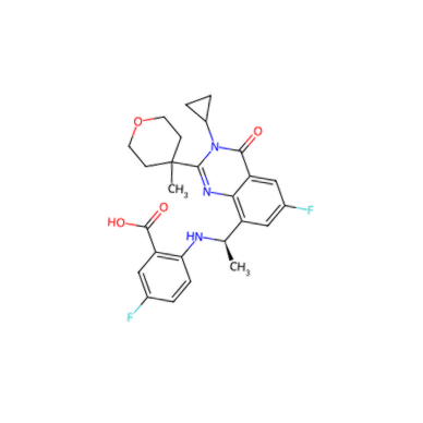 C[C@@H](Nc1ccc(F)cc1C(=O)O)c1cc(F)cc2c(=O)n(C3CC3)c(C3(C)CCOCC3)nc12